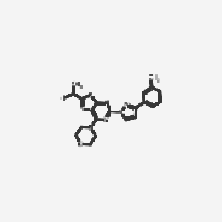 Cc1cccc(-c2ccn(-c3nc(N4CCOCC4)c4nc(C(C)Cl)sc4n3)n2)c1